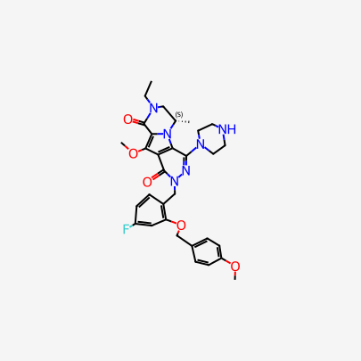 CCN1C[C@H](C)n2c(c(OC)c3c(=O)n(Cc4ccc(F)cc4OCc4ccc(OC)cc4)nc(N4CCNCC4)c32)C1=O